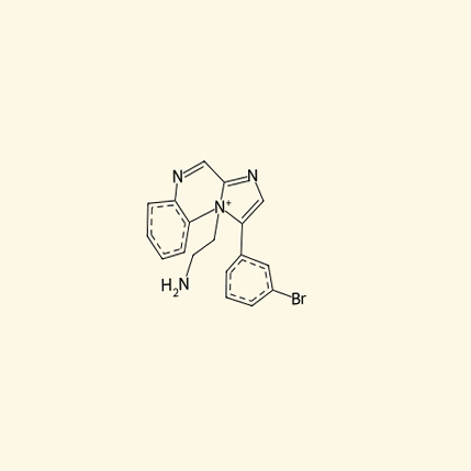 NCC[N+]12C(c3cccc(Br)c3)=CN=C1C=Nc1ccccc12